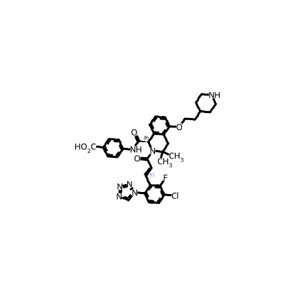 CC1(C)Cc2c(OCCC3CCNCC3)cccc2[C@H](C(=O)Nc2ccc(C(=O)O)cc2)N1C(=O)/C=C/c1c(-n2cnnn2)ccc(Cl)c1F